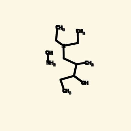 CCC(O)C(C)CN(CC)CC.NO